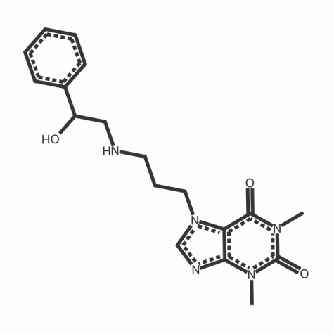 Cn1c(=O)c2c(ncn2CCCNCC(O)c2ccccc2)n(C)c1=O